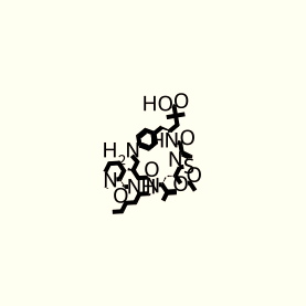 C=C(C)[C@@H](C[C@@H](OC(C)=O)c1nc(C(=O)N[C@@H](Cc2ccc(N)cc2)CC(C)(C)C(=O)O)cs1)N(CCCCCC)C(=O)[C@@H](NC(=O)[C@H]1CCCCN1C)[C@@H](C)CC